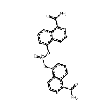 NC(=O)c1nccc2c(O[PH](=O)Oc3cccc4c(C(N)=O)nccc34)cccc12